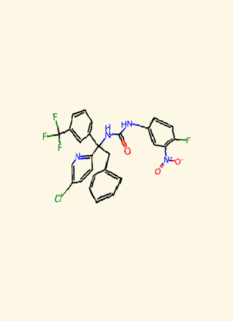 O=C(Nc1ccc(F)c([N+](=O)[O-])c1)NC(Cc1ccccc1)(c1cccc(C(F)(F)F)c1)c1ccc(Cl)cn1